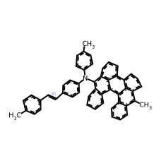 Cc1ccc(/C=C/c2ccc(N(c3ccc(C)cc3)c3c4ccccc4c4c5c3cccc5c3cccc5c(C)c6ccccc6c4c53)cc2)cc1